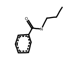 CCC[N]C(=O)c1ccccc1